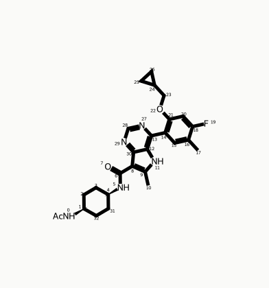 CC(=O)N[C@H]1CC[C@@H](NC(=O)c2c(C)[nH]c3c(-c4cc(C)c(F)cc4OCC4CC4)ncnc23)CC1